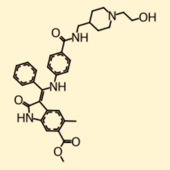 COC(=O)c1cc2c(cc1C)C(=C(Nc1ccc(C(=O)NCC3CCN(CCO)CC3)cc1)c1ccccc1)C(=O)N2